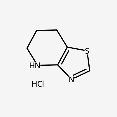 Cl.c1nc2c(s1)CCCN2